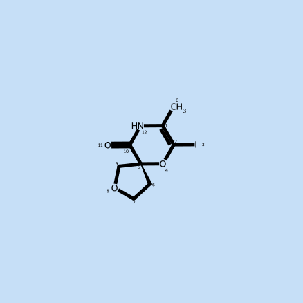 CC1=C(I)O[C@@]2(CCOC2)C(=O)N1